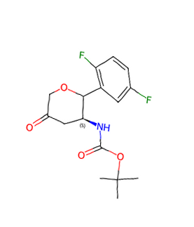 CC(C)(C)OC(=O)N[C@H]1CC(=O)COC1c1cc(F)ccc1F